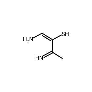 CC(=N)/C(S)=C\N